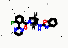 O=C(c1cccc(F)c1-c1ncccn1)N1C[C@@H]2C[C@@H](Nc3nc4ccccc4o3)[C@@H]1C2